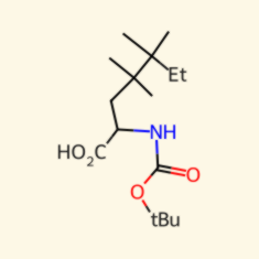 CCC(C)(C)C(C)(C)CC(NC(=O)OC(C)(C)C)C(=O)O